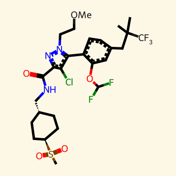 COCCn1nc(C(=O)NC[C@H]2CC[C@H](S(C)(=O)=O)CC2)c(Cl)c1-c1ccc(CC(C)(C)C(F)(F)F)cc1OC(F)F